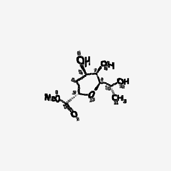 COC(=O)[C@@H]1C[C@@H](O)[C@@H](O)[C@@H]([C@@H](C)O)O1